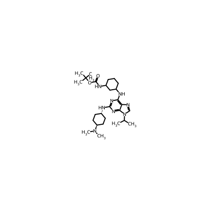 CC(C)n1cnc2c(NC3CCCC(NC(=O)OC(C)(C)C)C3)nc(N[C@H]3CC[C@H](N(C)C)CC3)nc21